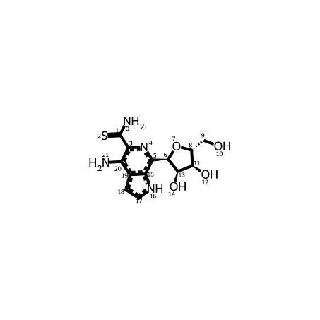 NC(=S)c1nc([C@H]2O[C@H](CO)[C@@H](O)[C@H]2O)c2[nH]ccc2c1N